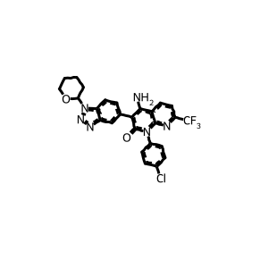 Nc1c(-c2ccc3c(c2)nnn3C2CCCCO2)c(=O)n(-c2ccc(Cl)cc2)c2nc(C(F)(F)F)ccc12